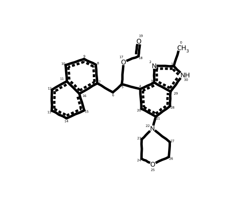 Cc1nc2c(C(Cc3cccc4ccccc34)OC=O)cc(N3CCOCC3)cc2[nH]1